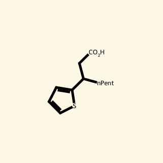 CCCCCC(CC(=O)O)c1cccs1